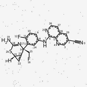 N#Cc1cnc2c(Nc3ccc(F)c([C@@]4(CF)N=C(N)S[C@H]5C=C54)c3)nccc2c1